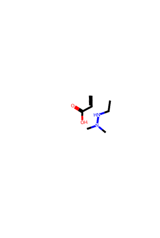 C=CC(=O)O.CCNN(C)C